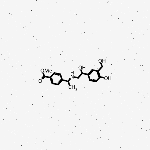 COC(=O)c1ccc(C(C)NCC(O)c2ccc(O)c(CO)c2)cc1